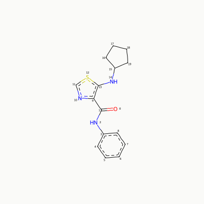 O=C(Nc1ccccc1)c1ncsc1NC1CCCC1